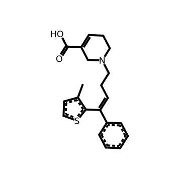 Cc1ccsc1C(=CCCN1CCC=C(C(=O)O)C1)c1ccccc1